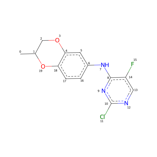 CC1COc2cc(Nc3nc(Cl)ncc3F)ccc2O1